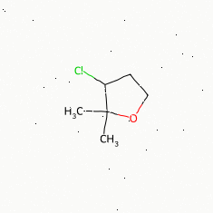 CC1(C)OCCC1Cl